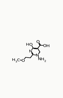 COCCC1=NC(O)=C(C(=O)O)CN1N